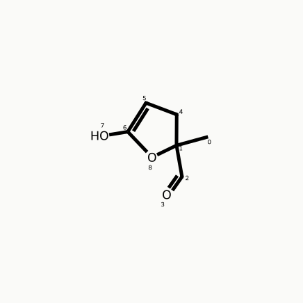 CC1(C=O)CC=C(O)O1